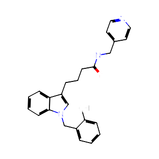 Cc1ccccc1Cn1cc(CCCC(=O)NCc2ccncc2)c2ccccc21